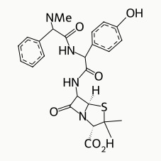 CNC(C(=O)NC(C(=O)NC1C(=O)N2[C@@H]1SC(C)(C)[C@@H]2C(=O)O)c1ccc(O)cc1)c1ccccc1